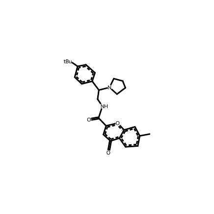 Cc1ccc2c(=O)cc(C(=O)NCC(c3ccc(C(C)(C)C)cc3)N3CCCC3)oc2c1